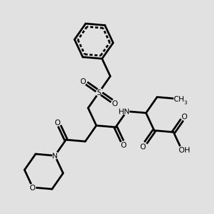 CCC(NC(=O)C(CC(=O)N1CCOCC1)CS(=O)(=O)Cc1ccccc1)C(=O)C(=O)O